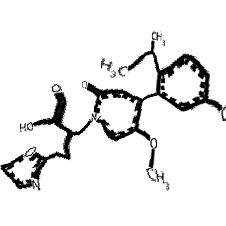 COc1cn(C(Cc2ncco2)C(=O)O)c(=O)cc1-c1cc(Cl)ccc1C(C)C